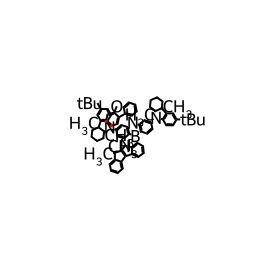 CC(C)(C)c1ccc2c(c1)C1(C)CCCCC1(C)N2c1ccc2c(c1)N(c1cccc3oc4ccccc4c13)c1cc(N3c4ccc(C(C)(C)C)cc4C4(C)CCCCC34C)cc3c1B2c1cccc2c4c(n-3c12)C(C)(C)c1ccccc1-4